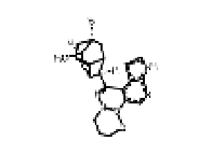 O[C@@H]1CC2CC3CC(C[C@@H]1C3)[C@H]2C1=NN2CCCOB2c2cnc3[nH]ccc3c21